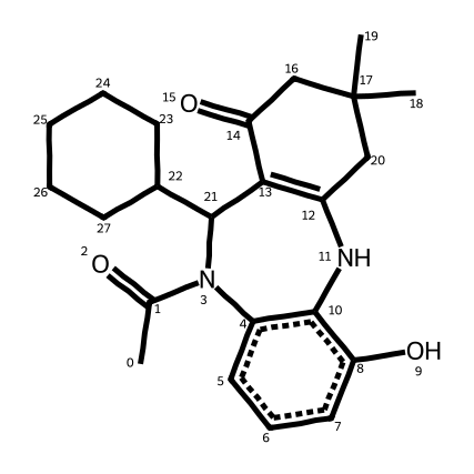 CC(=O)N1c2cccc(O)c2NC2=C(C(=O)CC(C)(C)C2)C1C1CCCCC1